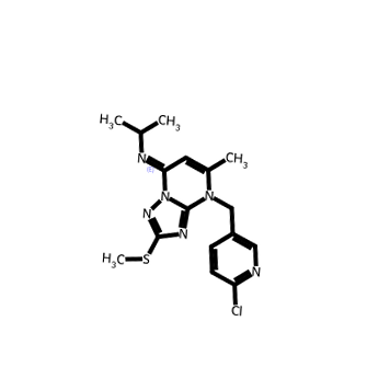 CSc1nc2n(Cc3ccc(Cl)nc3)c(C)c/c(=N\C(C)C)n2n1